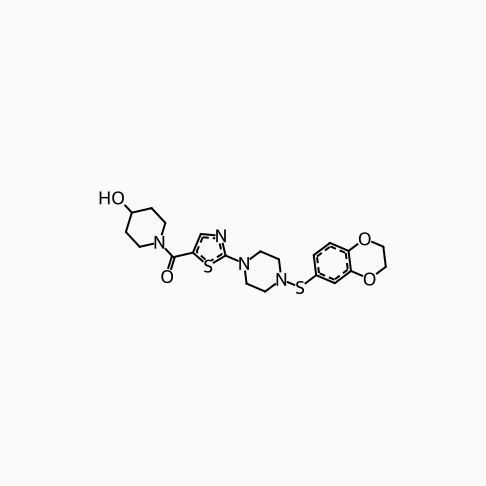 O=C(c1cnc(N2CCN(Sc3ccc4c(c3)OCCO4)CC2)s1)N1CCC(O)CC1